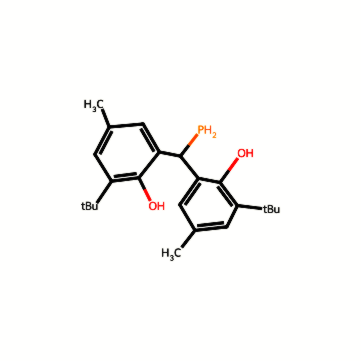 Cc1cc(C(P)c2cc(C)cc(C(C)(C)C)c2O)c(O)c(C(C)(C)C)c1